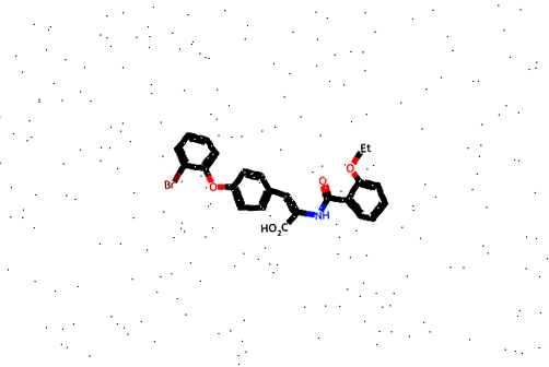 CCOc1ccccc1C(=O)NC(=Cc1ccc(Oc2ccccc2Br)cc1)C(=O)O